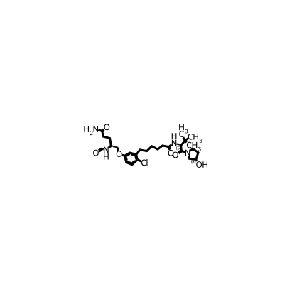 CC(C)(C)[C@H](NC(=O)CCCCCc1cc(OC[C@H](CCC(N)=O)NC=O)ccc1Cl)C(=O)N1CC[C@@H](O)C1